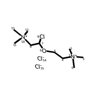 C[N+](C)(C)CCOC(Cl)C[N+](C)(C)C.[Cl-].[Cl-]